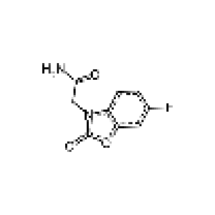 NC(=O)Cn1c(=O)oc2cc(F)ccc21